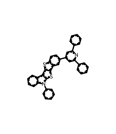 c1ccc(-c2cc(-c3ccc4sc5c(sc6c5c5ccccc5n6-c5ccccc5)c4c3)cc(-c3ccccc3)n2)cc1